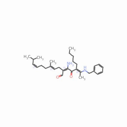 CCCCC/C(C(=O)/C(N)=C(\C=O)C/C=C(\C)CC/C=C\C(C)C)=C(/C)NCc1ccccc1